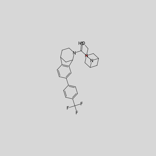 O=C(N1CC2CC(C1)N2CCO)N1CCC2CC1c1cc(-c3ccc(C(F)(F)F)cc3)ccc12